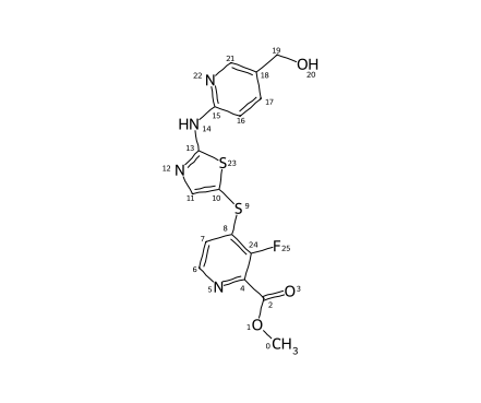 COC(=O)c1nccc(Sc2cnc(Nc3ccc(CO)cn3)s2)c1F